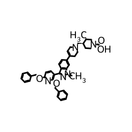 C[C@H]1CN(C(=O)O)CC[C@H]1CN1CC=C(c2ccc3c(-c4ccc(OCc5ccccc5)nc4OCc4ccccc4)nn(C)c3c2)CC1